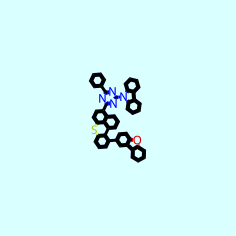 c1ccc(-c2nc(-c3ccc4c5c(cccc35)-c3c(cccc3-c3ccc5oc6ccccc6c5c3)S4)nc(-n3c4ccccc4c4ccccc43)n2)cc1